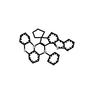 c1ccc(N2C3=C(N4c5ccccc5Sc5cccc2c54)C2(CCCC2)c2ccc4c(sc5ccccc54)c23)cc1